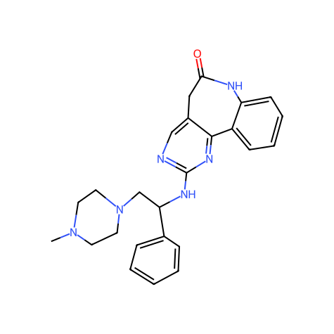 CN1CCN(CC(Nc2ncc3c(n2)-c2ccccc2NC(=O)C3)c2ccccc2)CC1